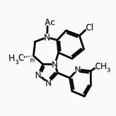 CC(=O)N1C[C@@H](C)c2nnc(-c3cccc(C)n3)n2-c2ccc(Cl)cc21